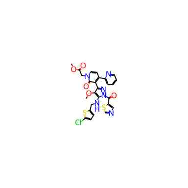 COC(=O)Cn1ccc(-c2ccccn2)c(-c2nn(C(=O)c3cncs3)c(NCc3ccc(Cl)s3)c2OC)c1=O